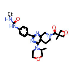 CCNC(=O)Nc1ccc(-c2nc3c(c(N4CCOCC4C)n2)CCN(C(=O)C2(C)COC2)C3)cc1